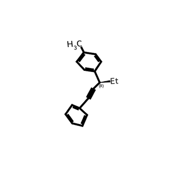 CC[C@@H](C#Cc1ccccc1)c1ccc(C)cc1